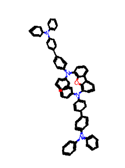 C1=CC(c2ccc(N(c3ccccc3)c3ccccc3)cc2)CC=C1N(c1ccccc1)c1cccc2c1oc1c(N(c3ccccc3)c3ccc(-c4ccc(N(c5ccccc5)c5ccccc5)cc4)cc3)cccc12